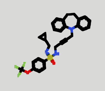 O=S(=NCC1CC1)(NCC#CCN1c2ccccc2CCc2ccccc21)c1ccc(OC(F)(F)F)cc1